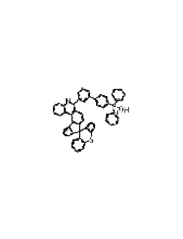 O[PH](c1ccccc1)(c1ccccc1)c1ccc(-c2cccc(-c3nc4ccccc4c4c5c(ccc34)C3(c4ccccc4Sc4ccccc43)c3ccccc3-5)c2)cc1